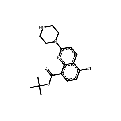 CC(C)(C)OC(=O)c1ccc(Cl)c2ccc(N3CCNCC3)nc12